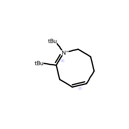 CC(C)(C)/C1=[N+](\C(C)(C)C)CCC/C=C\C1